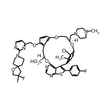 Cc1c2ccc(c1Cl)O[C@H](CN1CCN(C)CC1)CCOc1ccc(OCc3ccnc(N4CCC5(CC4)CC(F)(F)CO5)n3)c(c1)C[C@H](C(=O)O)Oc1ncnc3sc(-c4ccc(F)cc4)c-2c13